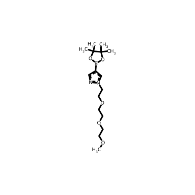 COCCOCCOCCn1cc(B2OC(C)(C)C(C)(C)O2)cn1